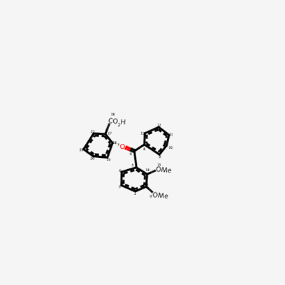 COc1cccc(C(=O)c2ccccc2)c1OC.O=C(O)c1ccccc1